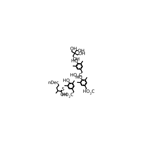 CCCCCCCCCCCCC(C)C(O)=S.Cc1cc(CC(=O)O)cc(C)c1O.Cc1cc(CC(=O)O)cc(C)c1O.Cc1cc(CC(=O)O)cc(C)c1O.OCC(CO)(CO)CO